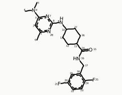 Cc1cc(N(C)C)nc(NC2CCC(C(=O)NCc3cc(F)ccc3F)CC2)n1